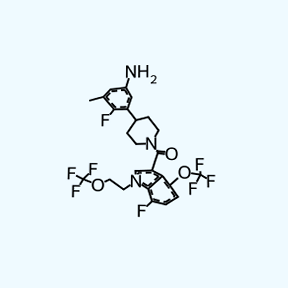 Cc1cc(N)cc(C2CCN(C(=O)c3cn(CCOC(F)(F)F)c4c(F)ccc(OC(F)(F)F)c34)CC2)c1F